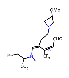 COC1CN(CCC(=C/N(C)C(CC(C)C)C(=O)O)/C(=C\C=O)C(F)(F)F)C1